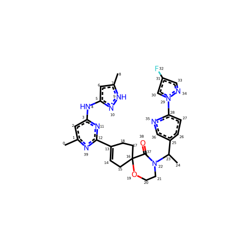 Cc1cc(Nc2cc(C)[nH]n2)nc(C2=CCC3(CC2)OCCN(C(C)c2ccc(-n4cc(F)cn4)nc2)C3=O)n1